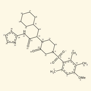 COc1cc(C)c(S(=O)(=O)N2CCN(C(CC3CCCCC3)C(=O)Nc3nccs3)C(=O)C2)c(C)c1C